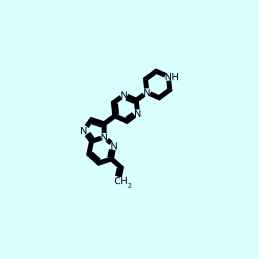 C=Cc1ccc2ncc(-c3cnc(N4CCNCC4)nc3)n2n1